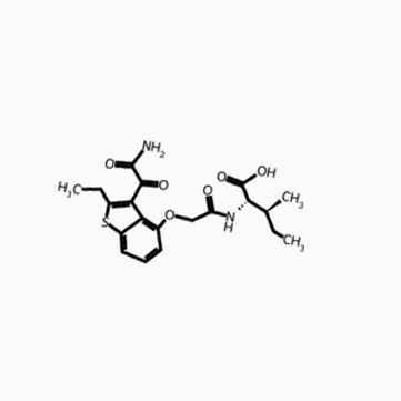 CCc1sc2cccc(OCC(=O)N[C@H](C(=O)O)[C@@H](C)CC)c2c1C(=O)C(N)=O